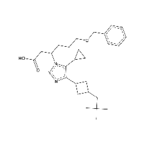 CC(C)(C)CC1CC(c2nnn(C(CCCOCc3ccccc3)CC(=O)O)c2C2CC2)C1